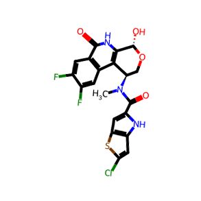 CN(C(=O)c1cc2sc(Cl)cc2[nH]1)[C@@H]1CO[C@@H](O)c2[nH]c(=O)c3cc(F)c(F)cc3c21